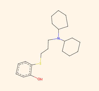 Oc1ccccc1SCCCN(C1CCCCC1)C1CCCCC1